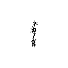 Fc1cc(C(F)(F)F)cnc1OCCCCOc1ccc(OCC=C(Cl)Cl)c(Cl)c1Cl